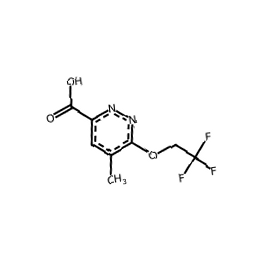 Cc1cc(C(=O)O)nnc1OCC(F)(F)F